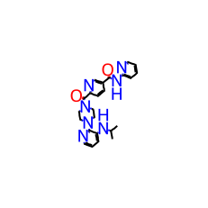 CC(C)Nc1cccnc1N1CCN(C(=O)c2ccc(C(=O)Nc3ccccn3)cn2)CC1